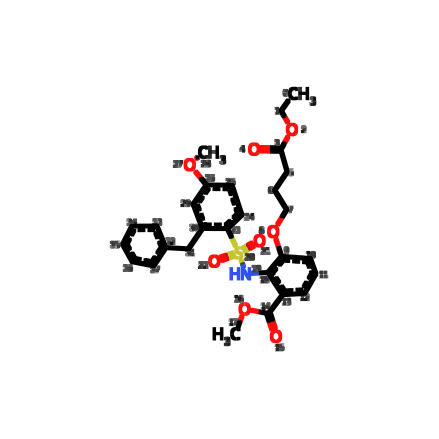 CCOC(=O)CCCOc1cccc(C(=O)OC)c1NS(=O)(=O)c1ccc(OC)cc1Cc1ccccc1